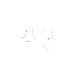 CC1=CC(C)(C)Nc2cccc(-c3ccc(F)c(F)c3F)c21